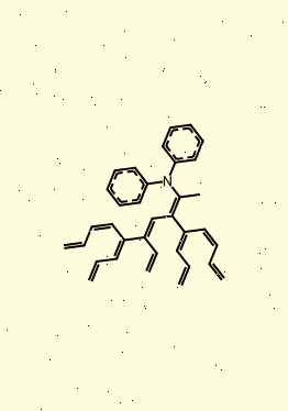 C=C\C=C/C(=C\C=C)C(/C=C)=C/C(C(/C=C\C=C)=C/C=C)=C(/C)N(c1ccccc1)c1ccccc1